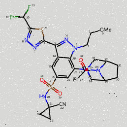 COCCn1nc(-c2nnc(C(F)F)s2)c2cc(S(=O)(=O)NC3(C#N)CC3)cc(N3CC4CCC(C3)N4C(=O)C(C)C)c21